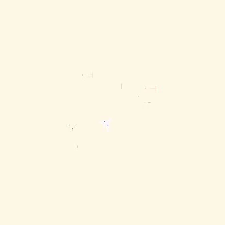 Cc1ccc(C2C(C#N)=C(C(F)(F)F)C=CN2c2ccc(C(O)(C(F)(F)F)C(F)(F)F)cc2)cc1